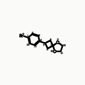 Brc1ccc(C2CC3(C2)OCCO3)cc1